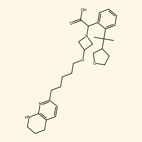 CC(C)(c1ccccc1C(C(=O)O)N1CC(OCCCCCc2ccc3c(n2)NCCC3)C1)C1CCOC1